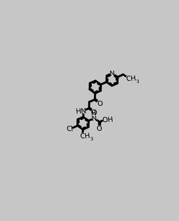 CCc1ccc(-c2cccc(C(=O)CC(=O)Nc3cc(Cl)c(C)cc3NC(=O)O)c2)cn1